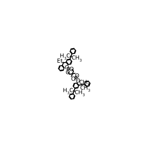 CCC(c1ccccc1)c1cc(C(C)(C)c2ccccc2)ccc1OP1OCC2(CO1)COP(Oc1ccc(C(C)(C)c3ccccc3)cc1C(C)(C)c1ccccc1)OC2